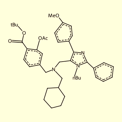 CCCCn1c(-c2ccccc2)nc(-c2ccc(OC)cc2)c1CN(Cc1ccc(C(=O)OC(C)(C)C)c(OC(C)=O)c1)CC1CCCCC1